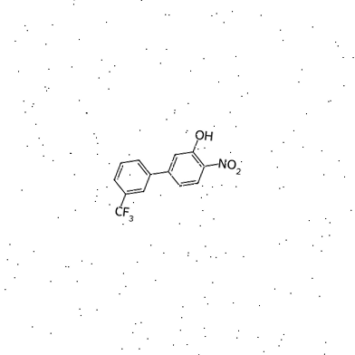 O=[N+]([O-])c1ccc(-c2cccc(C(F)(F)F)c2)cc1O